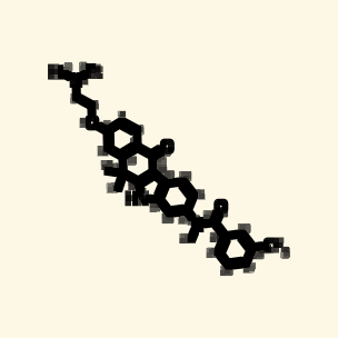 CCN(CC)CCOc1ccc2c(c1)C(C)(C)c1[nH]c3cc(N(C)C(=O)c4cccc(C(F)(F)F)c4)ccc3c1C2=O